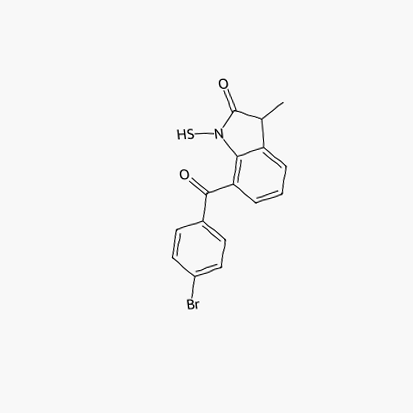 CC1C(=O)N(S)c2c(C(=O)c3ccc(Br)cc3)cccc21